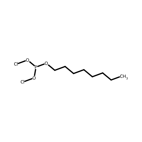 CCCCCCCCOP(OCl)OCl